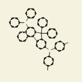 N#Cc1ccc(N(c2ccc(C#N)cc2)c2ccc3c(c2)C(c2ccccc2)(c2ccccc2)c2cc(N(c4ccccc4)c4ccccc4)c4ccccc4c2-3)cc1